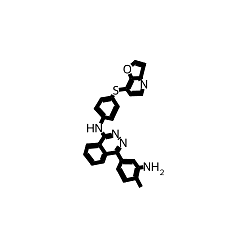 Cc1ccc(-c2nnc(Nc3ccc(Sc4ccnc5ccoc45)cc3)c3ccccc23)cc1N